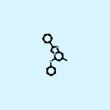 Cc1cc(Oc2ccccc2)n2cc(-c3ccccc3)nc2c1